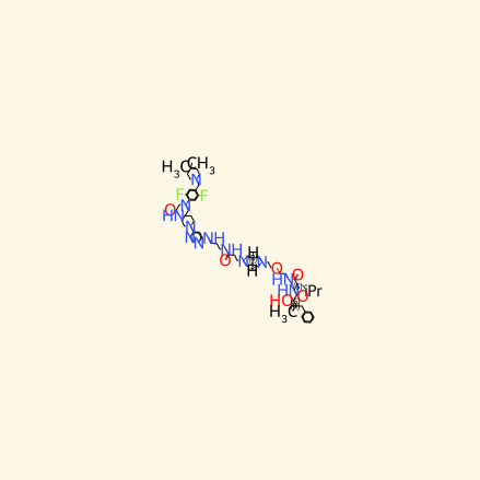 CC(C)C[C@H](NC(=O)[C@@H](O)[C@H](C)Cc1ccccc1)C(=O)NCCOCCN1C[C@@H]2CN(CCC(=O)NCCCNc3cc(N4CCC5(CC4)CN(c4cc(F)c(CN6CCC(C)(C)CC6)cc4F)CC(=O)N5)ncn3)C[C@@H]2C1